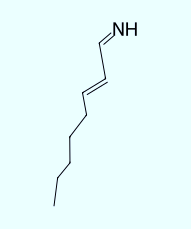 CCCCCC=CC=N